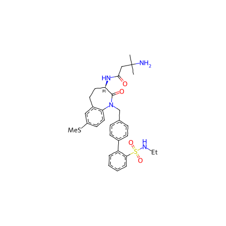 CCNS(=O)(=O)c1ccccc1-c1ccc(CN2C(=O)[C@H](NC(=O)CC(C)(C)N)CCc3cc(SC)ccc32)cc1